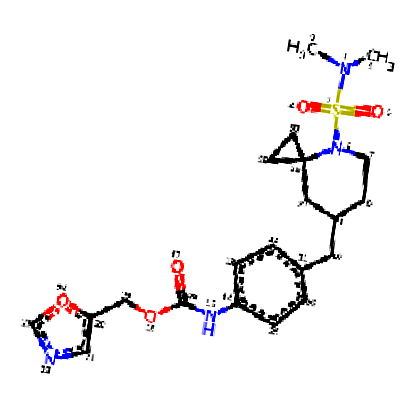 CN(C)S(=O)(=O)N1CCC(Cc2ccc(NC(=O)OCc3cnco3)cc2)CC12CC2